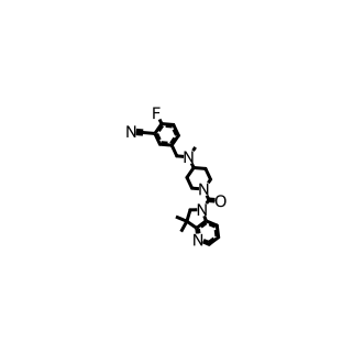 CN(Cc1ccc(F)c(C#N)c1)C1CCN(C(=O)N2CC(C)(C)c3ncccc32)CC1